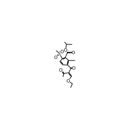 CCOC=C(C(C)=O)C(=O)c1ccc(S(C)(=O)=O)c(C(=O)OC(C)C)c1C